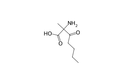 CCCCC(=O)C(C)(N)C(=O)O